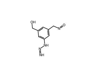 N=NNc1cc(CO)cc(CN=O)c1